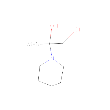 CNC(O)(CO)N1CCCCC1